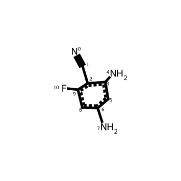 N#Cc1c(N)cc(N)cc1F